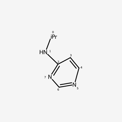 CC(C)Nc1ccncn1